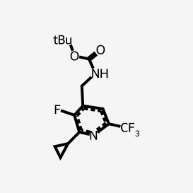 CC(C)(C)OC(=O)NCc1cc(C(F)(F)F)nc(C2CC2)c1F